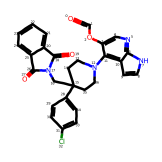 O=COc1cnc2[nH]ccc2c1N1CCC(CN2C(=O)c3ccccc3C2=O)(c2ccc(Cl)cc2)CC1